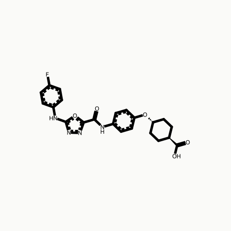 O=C(Nc1ccc(O[C@H]2CC[C@H](C(=O)O)CC2)cc1)c1nnc(Nc2ccc(F)cc2)o1